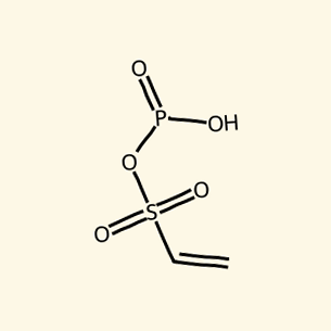 C=CS(=O)(=O)O[P](=O)O